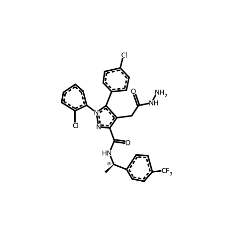 C[C@@H](NC(=O)c1nn(-c2ccccc2Cl)c(-c2ccc(Cl)cc2)c1CC(=O)NN)c1ccc(C(F)(F)F)cc1